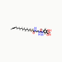 CC#CCCCCCCCCCCCSCC(=O)NCCNC(=O)Nc1ccc(O)c(C(=O)O)c1